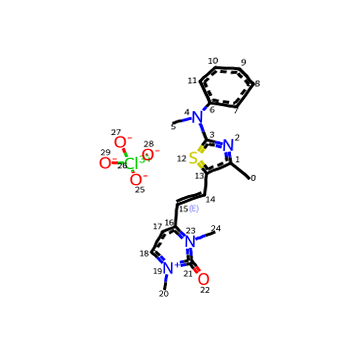 Cc1nc(N(C)c2ccccc2)sc1/C=C/c1cc[n+](C)c(=O)n1C.[O-][Cl+3]([O-])([O-])[O-]